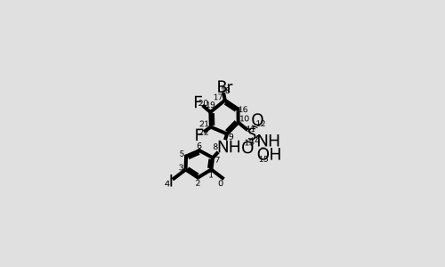 Cc1cc(I)ccc1Nc1c(S(=O)(=O)NO)cc(Br)c(F)c1F